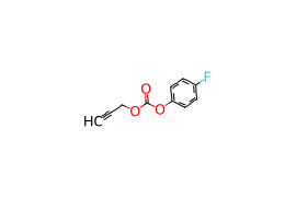 C#CCOC(=O)Oc1ccc(F)cc1